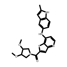 COC1CN(C(=O)c2cc3nccc(Nc4ccc5[nH]c(C)cc5c4)c3s2)CC1OC